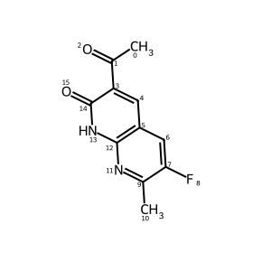 CC(=O)c1cc2cc(F)c(C)nc2[nH]c1=O